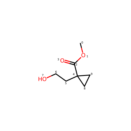 COC(=O)C1(CCO)CC1